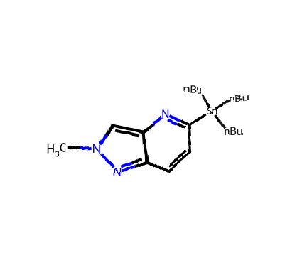 CCC[CH2][Sn]([CH2]CCC)([CH2]CCC)[c]1ccc2nn(C)cc2n1